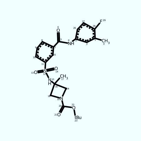 Cc1cc(NC(=O)c2cccc(S(=O)(=O)NC3(C)CN(C(=O)OC(C)(C)C)C3)c2)ccc1F